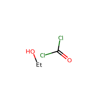 CCO.O=C(Cl)Cl